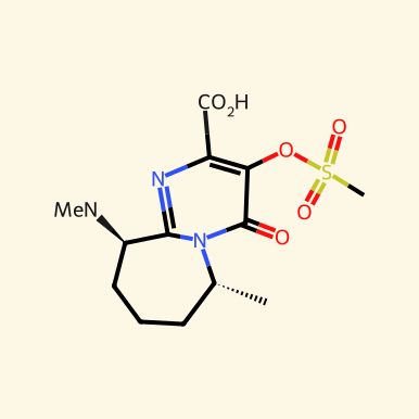 CN[C@@H]1CCC[C@@H](C)n2c1nc(C(=O)O)c(OS(C)(=O)=O)c2=O